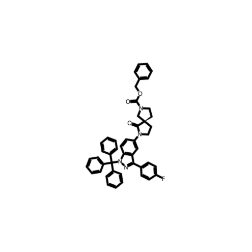 O=C(OCc1ccccc1)N1CC[C@]2(CCN(c3ccc4c(c3)c(-c3ccc(F)cc3)nn4C(c3ccccc3)(c3ccccc3)c3ccccc3)C2=O)C1